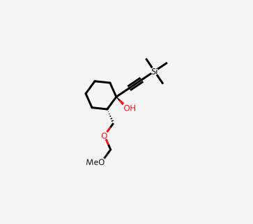 COCOC[C@@H]1CCCC[C@]1(O)C#C[Si](C)(C)C